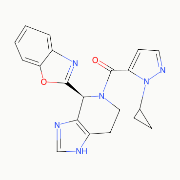 O=C(c1ccnn1C1CC1)N1CCc2[nH]cnc2[C@H]1c1nc2ccccc2o1